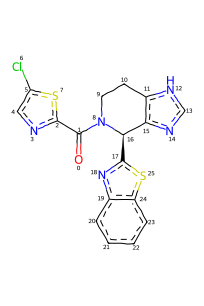 O=C(c1ncc(Cl)s1)N1CCc2[nH]cnc2[C@H]1c1nc2ccccc2s1